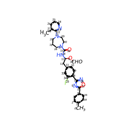 Cc1ccc(-c2nc(-c3ccc(CC(NC(=O)N4CCCN(c5ncccc5C)CC4)OC=O)cc3F)no2)cc1